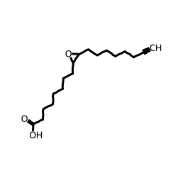 C#CCCCCCCC1OC1CCCCCCCC(=O)O